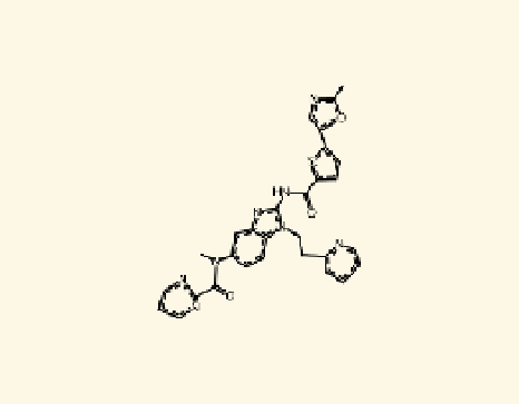 Cc1ncc(-c2ccc(C(=O)Nc3nc4cc(N(C)C(=O)c5ncccn5)ccc4n3CCc3ccccn3)s2)o1